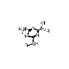 [2H]Nc1nc(N)nc(N([2H])[2H])n1